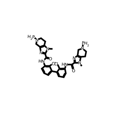 Cn1c(C(=O)Nc2cccc(-c3cccc(NC(=O)c4nc5c(n4C)CCN(P)C5)c3Cl)c2Cl)nc2c1CCN(P)C2